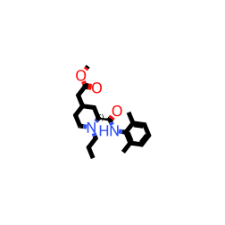 CCCN1CCC(CC(=O)OC)C[C@H]1C(=O)Nc1c(C)cccc1C